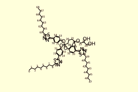 CCCCCCCCCc1nnc(-c2ccc(OC(CCCC(=O)OCC(O)CO)(Oc3ccc(-c4nnc(CCCCCCCCC)s4)cc3)Oc3ccc(-c4nnc(CCCCCCCCC)s4)cc3)cc2)s1